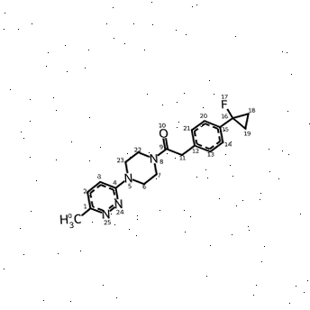 Cc1ccc(N2CCN(C(=O)Cc3ccc(C4(F)CC4)cc3)CC2)nn1